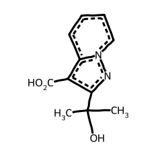 CC(C)(O)c1nn2ccccc2c1C(=O)O